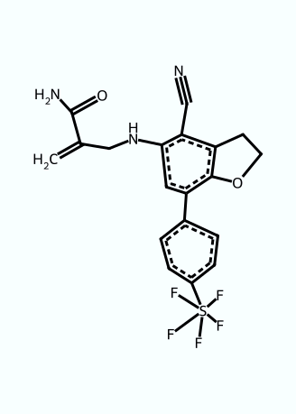 C=C(CNc1cc(-c2ccc(S(F)(F)(F)(F)F)cc2)c2c(c1C#N)CCO2)C(N)=O